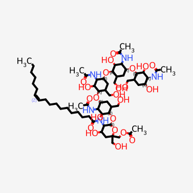 CCCCCC/C=C\CCCCCCCCCC(=O)NC1C(O)CC(CO)(COC(C)=O)O[C@H]1O[C@@H]1C(CO)C[C@@H](O[C@@H]2C(CO)C[C@@H](O[C@@H]3C(CO)C[C@@H](O[C@@H]4C(CO)C[C@@H](O)[C@@H](NC(C)=O)C4O)C(NC(C)=O)C3O)C(NC(C)=O)C2O)C(NC(C)=O)C1O